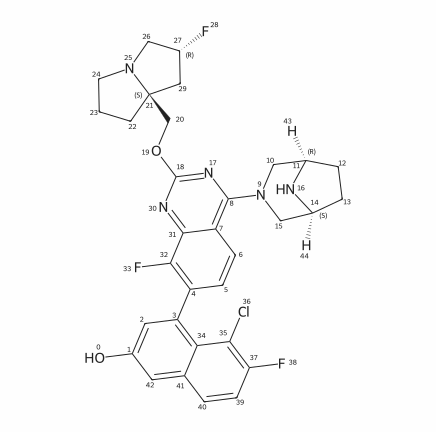 Oc1cc(-c2ccc3c(N4C[C@H]5CC[C@@H](C4)N5)nc(OC[C@@]45CCCN4C[C@H](F)C5)nc3c2F)c2c(Cl)c(F)ccc2c1